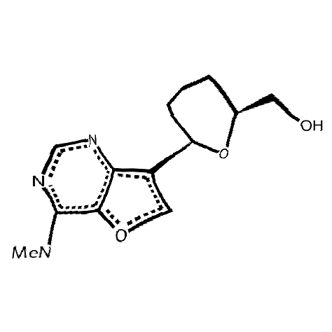 CNc1ncnc2c([C@H]3CC[C@@H](CO)O3)coc12